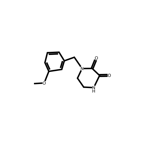 COc1cccc(CN2CCNC(=O)C2=O)c1